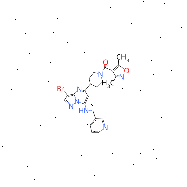 Cc1noc(C)c1C(=O)N1CCC(c2cc(NCc3cccnc3)n3ncc(Br)c3n2)CC1